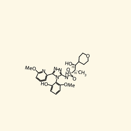 COC1=NC(c2nnc(NS(=O)(=O)[C@@H](C)[C@@H](O)C3CCOCC3)n2-c2c(O)cccc2OC)=C=C=C1